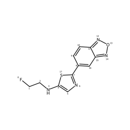 FCCNc1cnc(-c2ccc3nonc3c2)s1